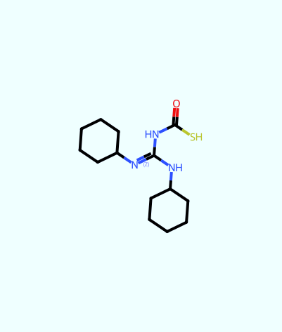 O=C(S)N/C(=N\C1CCCCC1)NC1CCCCC1